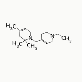 CCN1CC=C(CN2CC=C(C)CC2(C)C)CC1